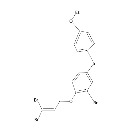 CCOc1ccc(Sc2ccc(OCC=C(Br)Br)c(Br)c2)cc1